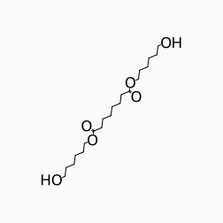 O=C(CCCCCCC(=O)OCCCCCCO)OCCCCCCO